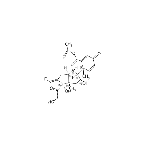 CC(=O)OC1=C[C@H]2[C@@H]3CC(=CF)[C@](O)(C(=O)CO)[C@@]3(C)C[C@H](O)[C@]2(F)[C@@]2(C)C=CC(=O)C=C12